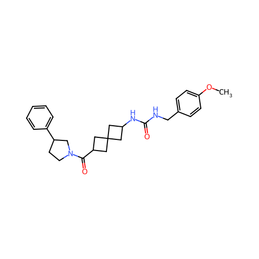 COc1ccc(CNC(=O)NC2CC3(C2)CC(C(=O)N2CCC(c4ccccc4)C2)C3)cc1